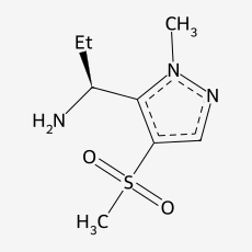 CC[C@H](N)c1c(S(C)(=O)=O)cnn1C